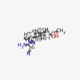 COC[C@@]1(O)CC[C@H]2[C@H](CC[C@@H]3[C@@H]2CC[C@]2(C)C([C@@H](C)n4ncc(C#N)c4N)CC[C@@H]32)C1